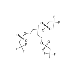 CC(CCOS(=O)(=O)CC(F)(F)F)(CCOS(=O)(=O)CC(F)(F)F)OS(=O)(=O)CC(F)(F)F